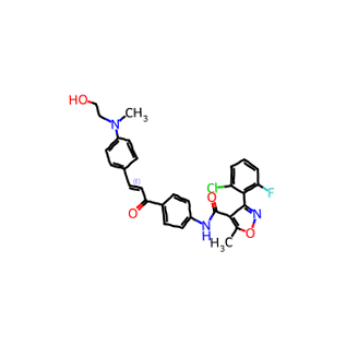 Cc1onc(-c2c(F)cccc2Cl)c1C(=O)Nc1ccc(C(=O)/C=C/c2ccc(N(C)CCO)cc2)cc1